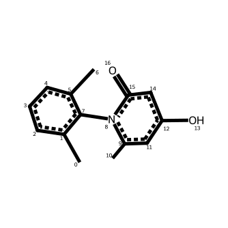 Cc1cccc(C)c1-n1c(C)cc(O)cc1=O